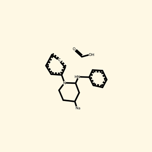 O=CO.[Na][CH]1CCN(c2ccccc2)C(Nc2ccccc2)C1